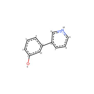 [O]c1cccc(-c2cccnc2)c1